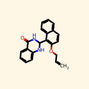 C=CCOc1ccc2ccccc2c1C1NC(=O)c2ccccc2N1